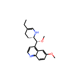 CCC1=CN[C@H]([C@H](OC)c2ccnc3ccc(OC)cc23)CC1